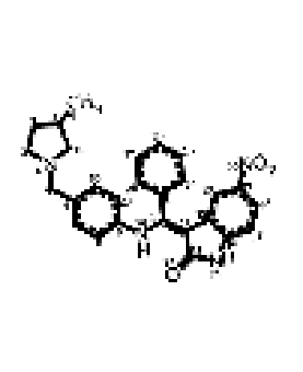 CC1CCN(Cc2ccc(N/C(=C3\C(=O)Nc4ccc([N+](=O)[O-])cc43)c3ccccc3)cc2)C1